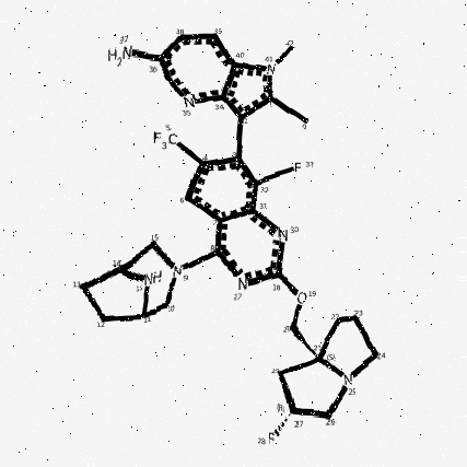 Cc1c(-c2c(C(F)(F)F)cc3c(N4CC5CCC(C4)N5)nc(OC[C@@]45CCCN4C[C@H](F)C5)nc3c2F)c2nc(N)ccc2n1C